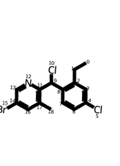 CCc1cc(Cl)ccc1C(Cl)c1ncc(Br)cc1C